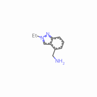 CCn1cc2c(CN)cccc2n1